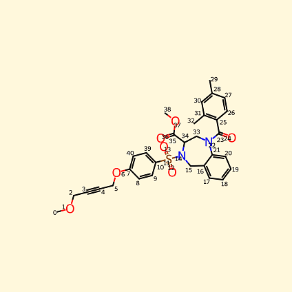 COCC#CCOc1ccc(S(=O)(=O)N2Cc3ccccc3N(C(=O)c3ccc(C)cc3C)CC2C(=O)OC)cc1